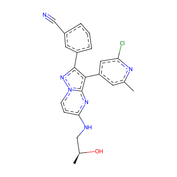 Cc1cc(-c2c(-c3cccc(C#N)c3)nn3ccc(NC[C@H](C)O)nc23)cc(Cl)n1